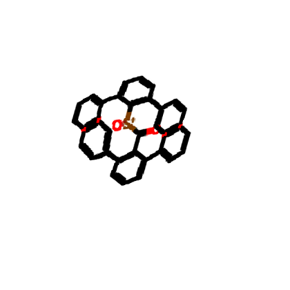 O=C(c1c(-c2ccccc2)cccc1-c1ccccc1)[S+]([O-])c1c(-c2ccccc2)cccc1-c1ccccc1